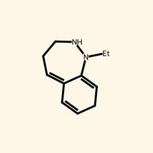 CCN1NCCC=C2C=CCC=C21